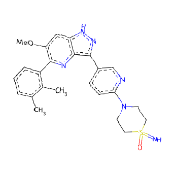 COc1cc2[nH]nc(-c3ccc(N4CCS(=N)(=O)CC4)nc3)c2nc1-c1cccc(C)c1C